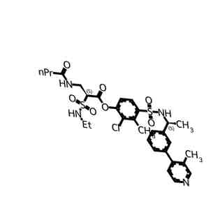 CCCC(=O)NC[C@@H](C(=O)Oc1ccc(S(=O)(=O)N[C@@H](C)c2cccc(-c3ccncc3C)c2)c(C)c1Cl)S(=O)(=O)NCC